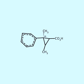 CC1C(C(=O)O)[C@]1(C)c1ccccc1